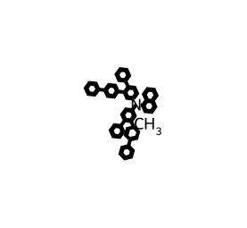 CC1(c2cc(N(c3ccc(-c4ccccc4)c(-c4ccc(-c5ccccc5)cc4)c3)c3cccc4ccccc34)ccc2-c2ccccc2)C=CC(c2ccccc2)=CC1